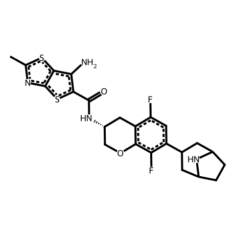 Cc1nc2sc(C(=O)N[C@H]3COc4c(F)c(C5CC6CCC(C5)N6)cc(F)c4C3)c(N)c2s1